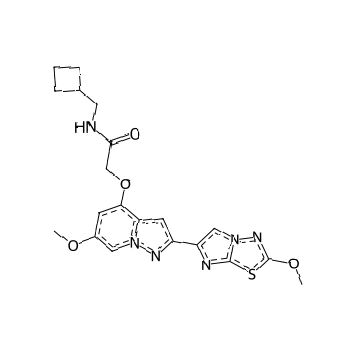 COc1cc(OCC(=O)NCC2CCC2)c2cc(-c3cn4nc(OC)sc4n3)nn2c1